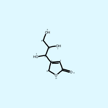 O=C1C=C(C(O)C(O)CO)CO1